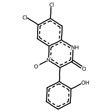 O=c1[nH]c2cc(Cl)c(Cl)cc2[n+]([O-])c1-c1ccccc1O